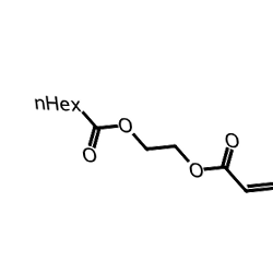 C=CC(=O)OCCOC(=O)CCCCCC